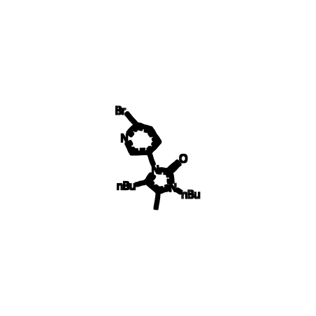 CCCCc1c(C)n(CCCC)c(=O)n1-c1ccc(Br)nc1